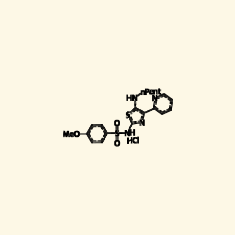 CCCCCNc1sc(NS(=O)(=O)c2ccc(OC)cc2)nc1-c1ccccn1.Cl